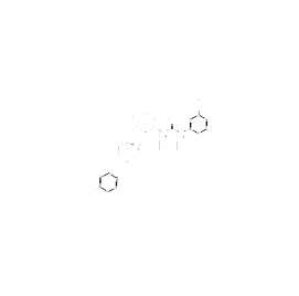 CC(=O)c1cccc(NC(=O)N[C@@H]2CCOC[C@H]2CN2CCC[C@@H](Cc3ccc(F)cc3)C2)c1